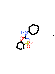 O=S1(=O)N=C(NC2CCCCCC2)OC2CCCCC21